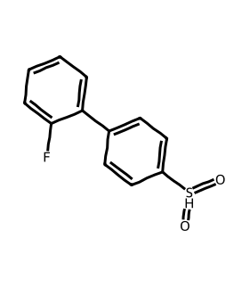 O=[SH](=O)c1ccc(-c2ccccc2F)cc1